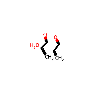 C=CC=O.C=CC=O.O